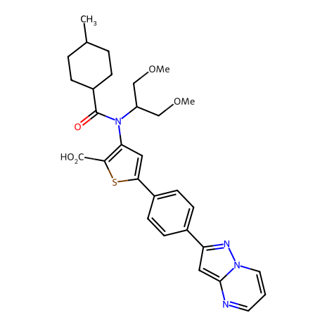 COCC(COC)N(C(=O)C1CCC(C)CC1)c1cc(-c2ccc(-c3cc4ncccn4n3)cc2)sc1C(=O)O